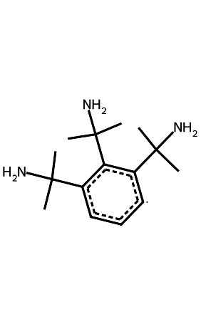 CC(C)(N)c1[c]ccc(C(C)(C)N)c1C(C)(C)N